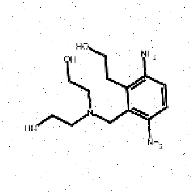 Nc1ccc(N)c(CN(CCO)CCO)c1CCO